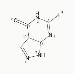 O=C1NC(I)=NC2NN=CC12